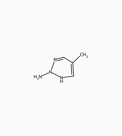 CC1=CNN(N)N=C1